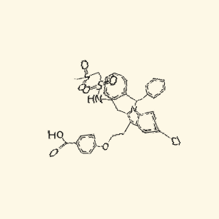 CS(=O)(=O)CS(=O)(=O)NCCc1c(CCOc2ccc(C(=O)O)cc2)c2cc(Cl)ccc2n1C(c1ccccc1)c1ccccc1